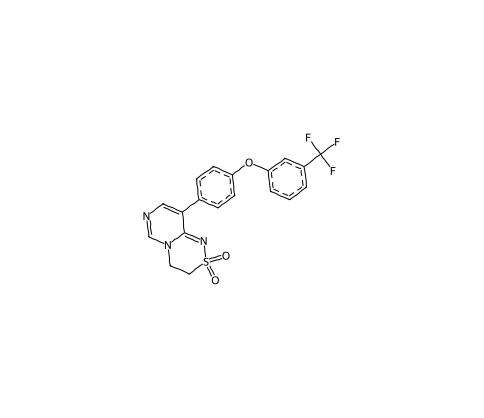 O=S1(=O)CCN2C=NC=C(c3ccc(Oc4cccc(C(F)(F)F)c4)cc3)C2=N1